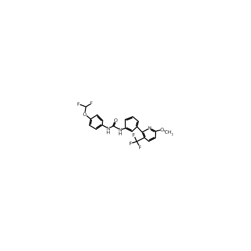 COc1ccc(C(F)(F)F)c(-c2cccc(NC(=O)Nc3ccc(OC(F)F)cc3)c2)n1